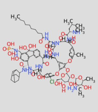 CCCCCCCCCC(=O)NC(=O)C[C@@H]1NC(=O)[C@H](NC(=O)[C@@H](CC(C)C)NC)[C@H](O)c2ccc(c(C)c2)Oc2cc3cc(c2O[C@@H]2O[C@H](CO)[C@@H](O)[C@H](O)[C@H]2O[C@H]2C[C@](C)(N)[C@H](O)[C@H](C)O2)Oc2ccc(cc2Cl)[C@@H](O)[C@@H]2NC(=O)[C@H](NC(=O)[C@@H]3NC1=O)c1ccc3c(c1)-c1c(cc(O)c(CNCP(=O)(O)O)c1C3(O)O)[C@@H](C(=O)NC1C3CC4CC(C3)CC1C4)NC2=O